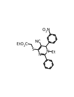 CCOC(=O)CSC1=C(C#N)C(c2cccc([N+](=O)[O-])c2)N(CC)C(c2ccccc2)=N1